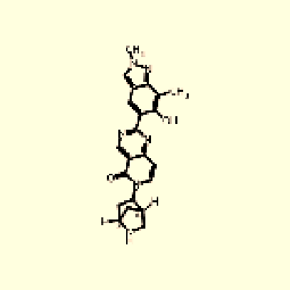 Cc1c(O)c(-c2ncc3c(=O)n(C4C[C@@H]5C[C@H]4CN5)ccc3n2)cc2cn(C)nc12